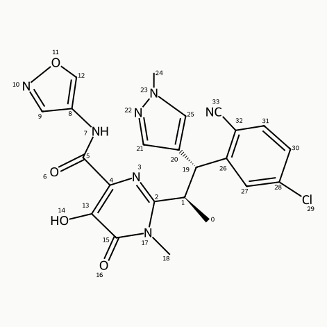 C[C@@H](c1nc(C(=O)Nc2cnoc2)c(O)c(=O)n1C)[C@H](c1cnn(C)c1)c1cc(Cl)ccc1C#N